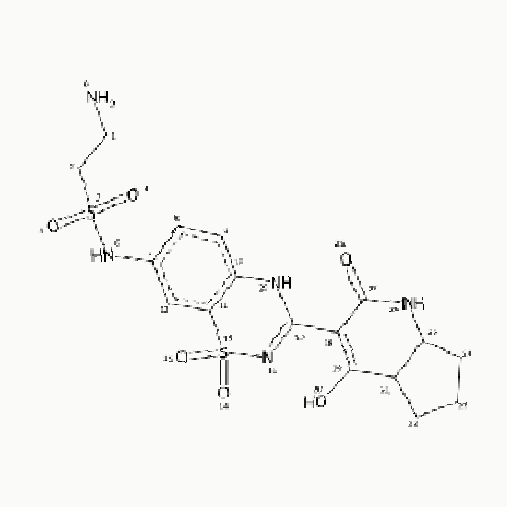 NCCS(=O)(=O)Nc1ccc2c(c1)S(=O)(=O)N=C(C1=C(O)C3CCCC3NC1=O)N2